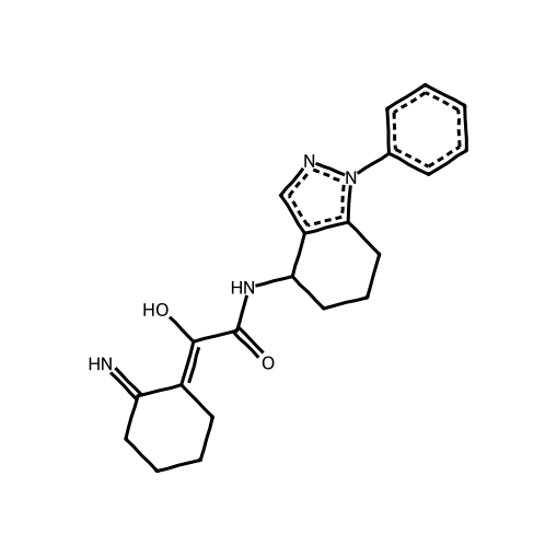 N=C1CCCC/C1=C(/O)C(=O)NC1CCCc2c1cnn2-c1ccccc1